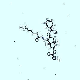 CCCCCC(=O)/C=C/C1C(OC(=O)c2ccccc2)C[C@H]2CC(OC(C)=O)C[C@@H]12